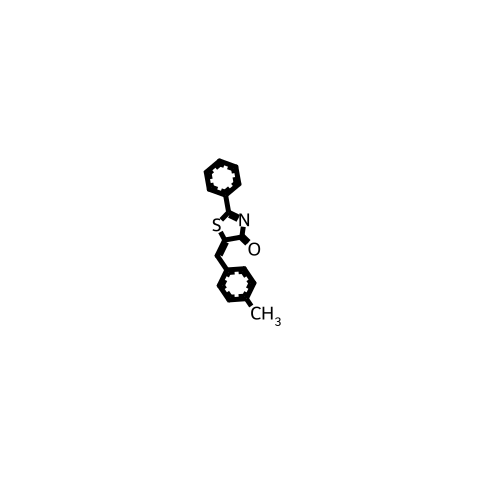 Cc1ccc(C=C2SC(c3ccccc3)=NC2=O)cc1